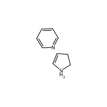 C1=C[SiH2]CC1.c1ccncc1